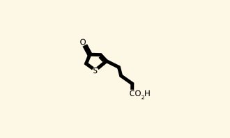 O=C(O)CCCC1=CC(=O)CS1